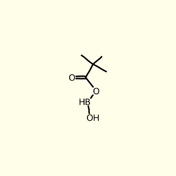 CC(C)(C)C(=O)OBO